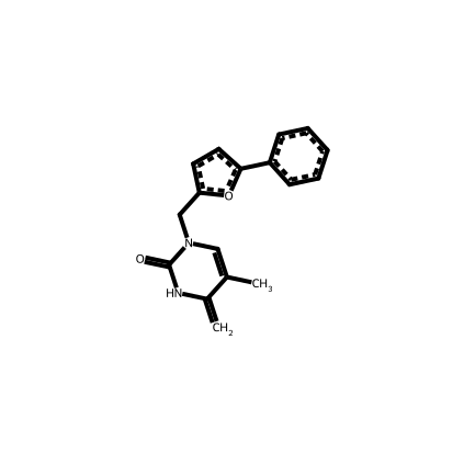 C=C1NC(=O)N(Cc2ccc(-c3ccccc3)o2)C=C1C